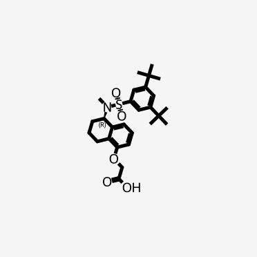 CN([C@@H]1CCCc2c(OCC(=O)O)cccc21)S(=O)(=O)c1cc(C(C)(C)C)cc(C(C)(C)C)c1